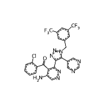 Nc1cnnc(-c2nnn(Cc3cc(C(F)(F)F)cc(C(F)(F)F)c3)c2-c2cncnc2)c1C(=O)c1ccccc1Cl